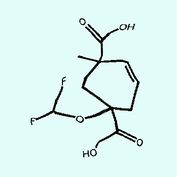 CC1(C(=O)O)C=CCC(OC(F)F)(C(=O)O)C1